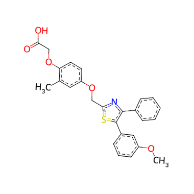 COc1cccc(-c2sc(COc3ccc(OCC(=O)O)c(C)c3)nc2-c2ccccc2)c1